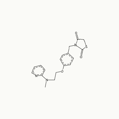 CN(CCOc1ccc(CN2C(=O)CSC2=O)cc1)c1ccccn1